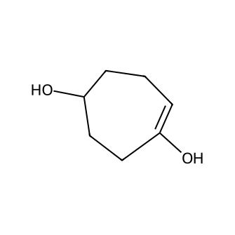 OC1=CCCC(O)CC1